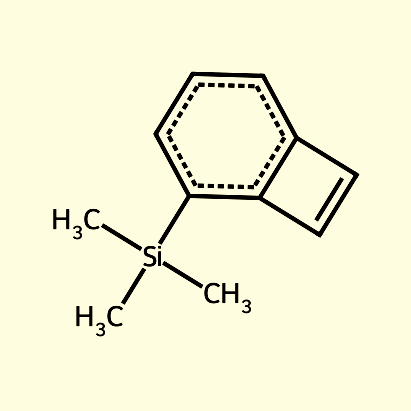 C[Si](C)(C)c1cccc2c1C=C2